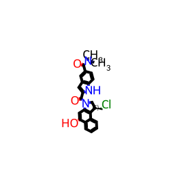 CN(C)C(=O)c1ccc2[nH]c(C(=O)N3C[C@@H](CCl)c4c3cc(O)c3ccccc43)cc2c1